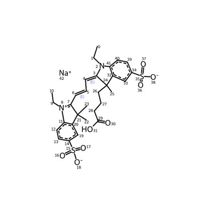 CCN1/C(=C/C=C/C2=[N+](CC)c3ccc(S(=O)(=O)[O-])cc3C2(C)C)C(C)(CCCC(=O)O)c2cc(S(=O)(=O)[O-])ccc21.[Na+]